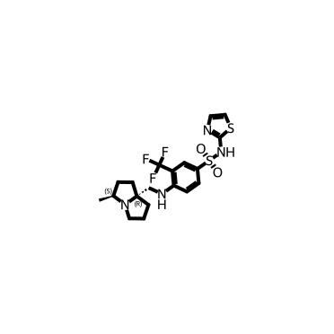 C[C@H]1CC[C@@]2(CNc3ccc(S(=O)(=O)Nc4nccs4)cc3C(F)(F)F)CCCN12